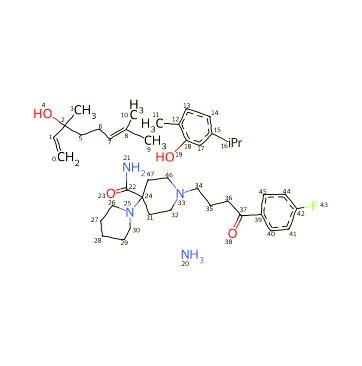 C=CC(C)(O)CCC=C(C)C.Cc1ccc(C(C)C)cc1O.N.NC(=O)C1(N2CCCCC2)CCN(CCCC(=O)c2ccc(F)cc2)CC1